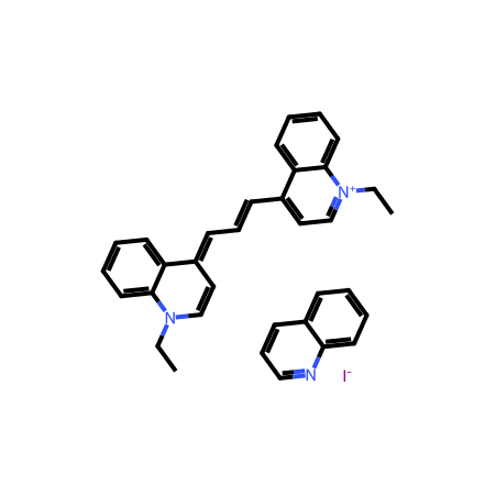 CCN1C=C/C(=C\C=C\c2cc[n+](CC)c3ccccc23)c2ccccc21.[I-].c1ccc2ncccc2c1